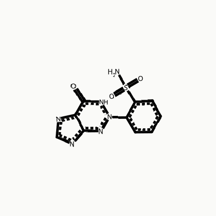 NS(=O)(=O)c1ccccc1-n1nc2ncnc-2c(=O)[nH]1